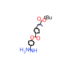 C/C(=C\c1ccc(C(=O)Oc2ccc(C(=N)N)cc2)cc1)C(=O)OC(C)(C)C